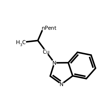 CCCCC[CH](C)[Cu][n]1cnc2ccccc21